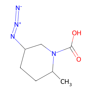 CC1CCC(N=[N+]=[N-])CN1C(=O)O